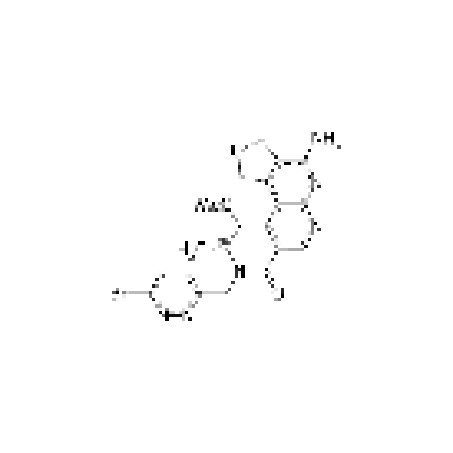 COC[C@@H](C)N(Cc1ccc(Br)nn1)C(=O)c1cnc2nc(N)c3c(c2c1)COC3